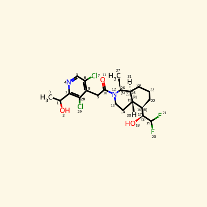 CC(O)c1ncc(Cl)c(CC(=O)N2CC[C@H]3[C@H]([C@H](O)C(F)F)CCC[C@@H]3[C@@H]2C)c1Cl